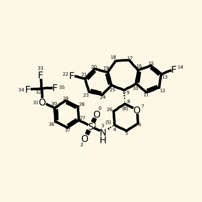 O=S(=O)(N[C@H]1CCO[C@@H](C2c3ccc(F)cc3CCc3cc(F)ccc32)C1)c1ccc(OC(F)(F)F)cc1